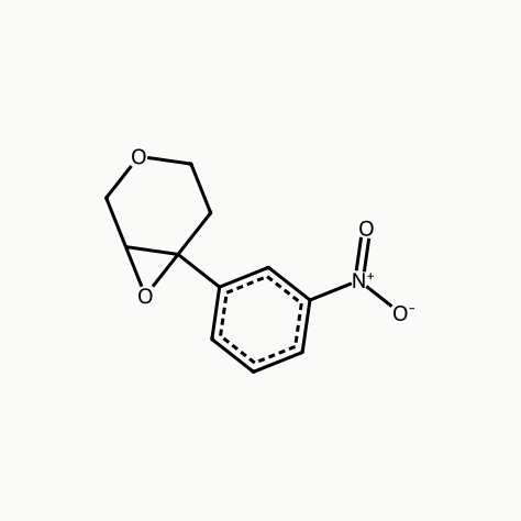 O=[N+]([O-])c1cccc(C23CCOCC2O3)c1